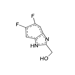 OCc1nc2cc(F)c(F)cc2[nH]1